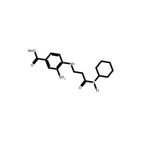 CCN(C(=O)CCNc1ccc(C(=O)OC)cc1[N+](=O)[O-])C1CCCCC1